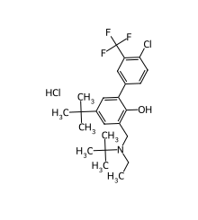 CCN(Cc1cc(C(C)(C)C)cc(-c2ccc(Cl)c(C(F)(F)F)c2)c1O)C(C)(C)C.Cl